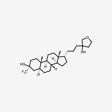 C[C@]12CC[C@@](O)(C(F)(F)F)C[C@@H]1CC[C@@H]1[C@@H]2CC[C@]2(C)[C@H](CCCC3(O)CCOC3)CC[C@@H]12